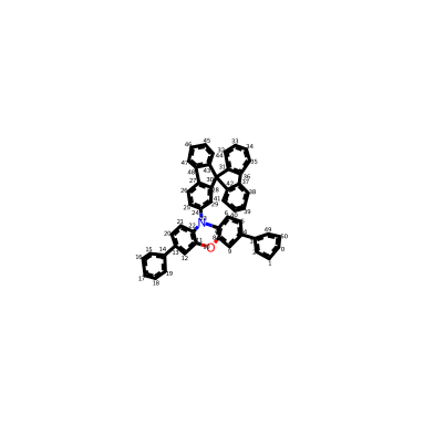 c1ccc(-c2ccc3c(c2)Oc2cc(-c4ccccc4)ccc2N3c2ccc3c(c2)C2(c4ccccc4-c4ccccc42)c2ccccc2-3)cc1